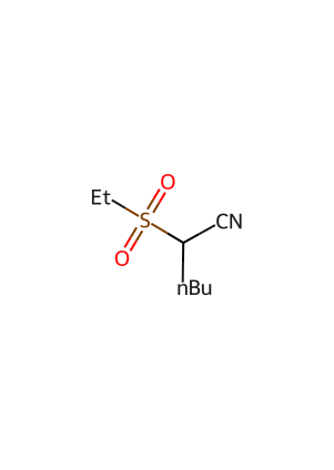 CCCCC(C#N)S(=O)(=O)CC